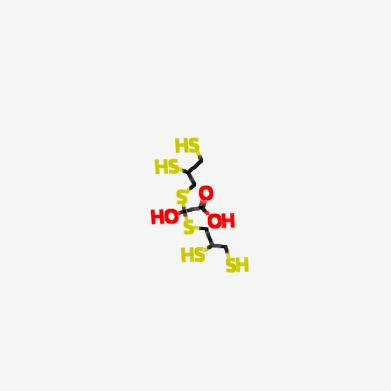 O=C(O)C(O)(SCC(S)CS)SCC(S)CS